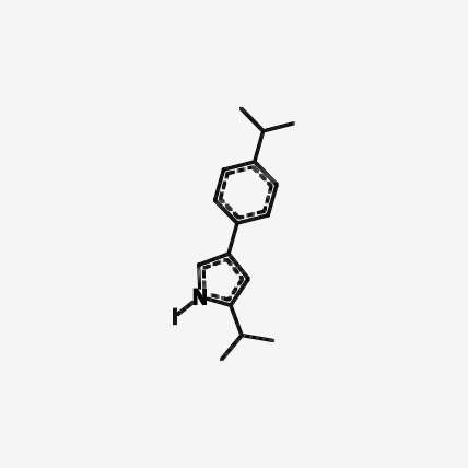 CC(C)c1ccc(-c2cc(C(C)C)n(I)c2)cc1